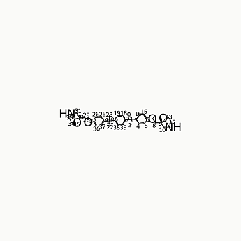 CC(C)(c1ccc(OCC2CNCCO2)cc1)c1ccc(C(C)(C)c2ccc(OCC3CNCCO3)cc2)cc1